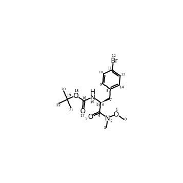 CON(C)C(=O)[C@H](Cc1ccc(Br)cc1)NC(=O)OC(C)(C)C